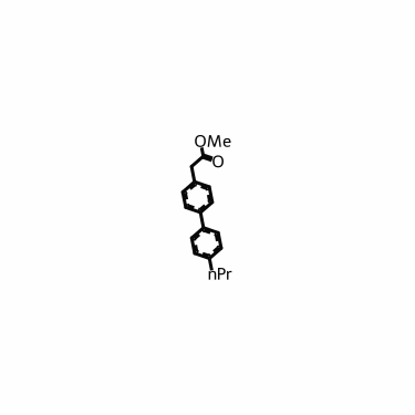 CCCc1ccc(-c2ccc(CC(=O)OC)cc2)cc1